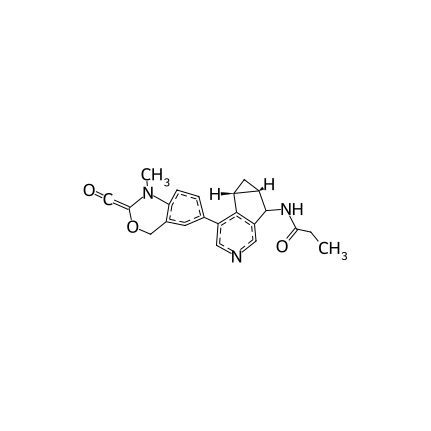 CCC(=O)NC1c2cncc(-c3ccc4c(c3)COC(=C=O)N4C)c2[C@@H]2C[C@H]12